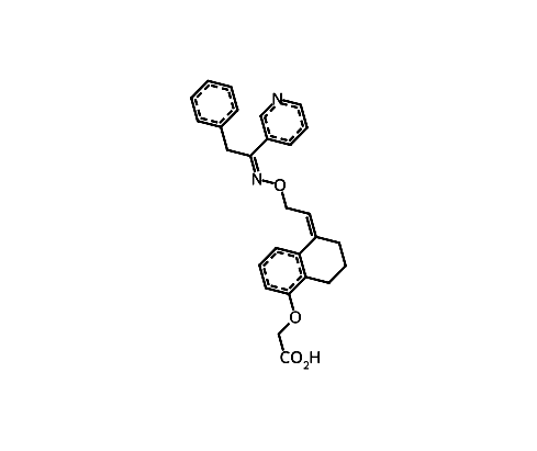 O=C(O)COc1cccc2c1CCC/C2=C/CO/N=C(/Cc1ccccc1)c1cccnc1